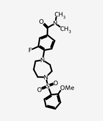 COc1ccccc1S(=O)(=O)N1CCCN(c2ccc(C(=O)N(C)C)cc2F)CC1